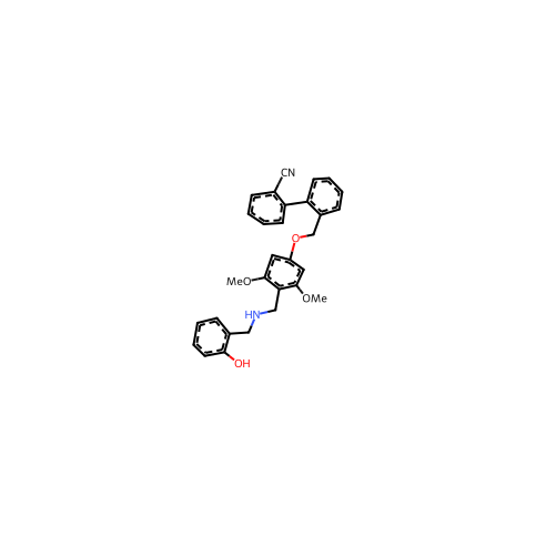 COc1cc(OCc2ccccc2-c2ccccc2C#N)cc(OC)c1CNCc1ccccc1O